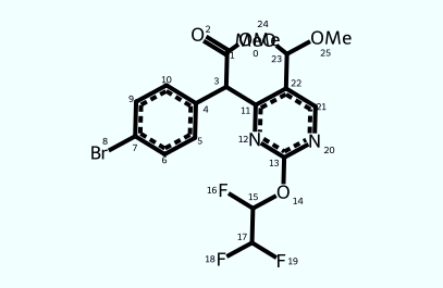 COC(=O)C(c1ccc(Br)cc1)c1nc(OC(F)C(F)F)ncc1C(OC)OC